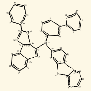 c1ccc(-c2cccc(N(c3ccc4c(c3)sc3ccccc34)c3cc4ccccc4c4nc(-c5ccccc5)oc34)c2)cc1